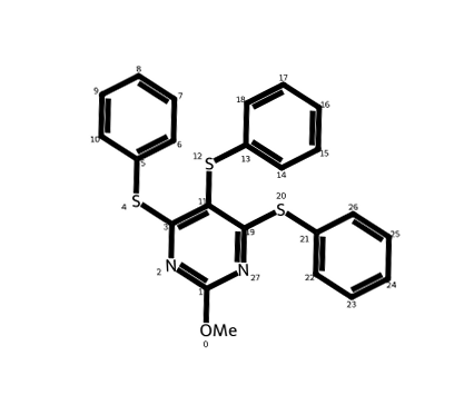 COc1nc(Sc2ccccc2)c(Sc2ccccc2)c(Sc2ccccc2)n1